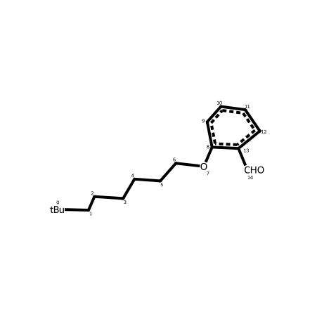 CC(C)(C)CCCCCCOc1ccccc1C=O